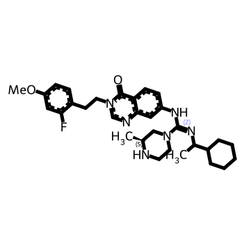 COc1ccc(CCn2cnc3cc(N/C(=N/C(C)C4CCCCC4)N4CCN[C@@H](C)C4)ccc3c2=O)c(F)c1